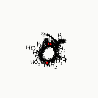 CCC(C)CCCCCCCCC(=O)NC(Cc1c[nH]c2ccccc12)C(=O)NC(CC(N)=O)C(=O)NC(CC(=O)O)C(=O)NC1C(=O)NCC(=O)NC(CCCN)C(=O)NC(CC(=O)O)C(=O)NC(CC(N)=O)C(=O)NC(CC(=O)O)C(=O)NCC(=O)NC(CO)C(=O)NC(C(C)CC(=O)O)C(=O)NC(CC(=O)c2ccccc2N)C(=O)OC1C